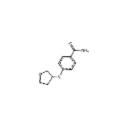 NC(=O)c1ccc(OC2CCOC2)cc1